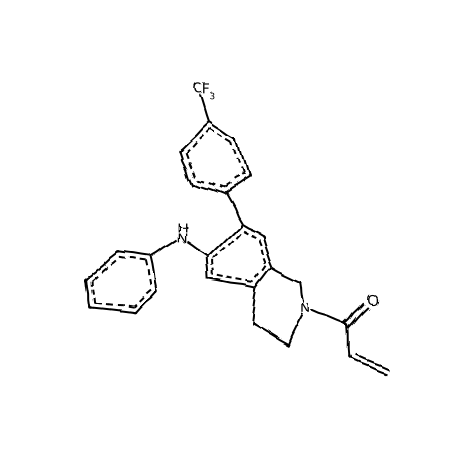 C=CC(=O)N1CCc2cc(Nc3ccccc3)c(-c3ccc(C(F)(F)F)cc3)cc2C1